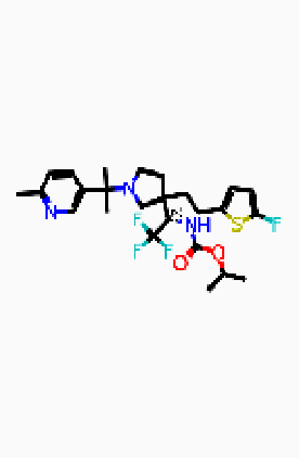 Cc1ccc(C(C)(C)N2CCC(CCc3ccc(F)s3)([C@H](NC(=O)OC(C)C)C(F)(F)F)C2)cn1